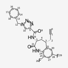 C#CC[C@H]1C[C@@H](NC(=O)c2cn(Cc3ccccc3)nn2)C(=O)Nc2c(F)cc(F)cc21